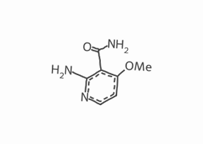 COc1ccnc(N)c1C(N)=O